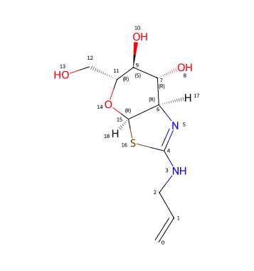 C=CCNC1=N[C@@H]2[C@@H](O)[C@H](O)[C@@H](CO)O[C@@H]2S1